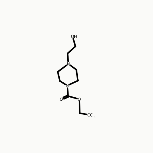 O=C(OCC(Cl)(Cl)Cl)N1CCN(CCO)CC1